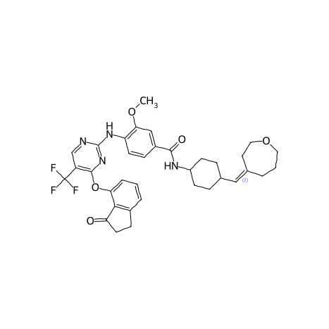 COc1cc(C(=O)NC2CCC(/C=C3/CCCOCC3)CC2)ccc1Nc1ncc(C(F)(F)F)c(Oc2cccc3c2C(=O)CC3)n1